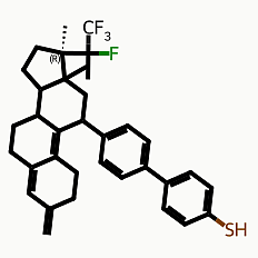 C=C1C=C2CCC3C(=C2CC1)C(c1ccc(-c2ccc(S)cc2)cc1)CC1(C)C3CC[C@@]1(C)C(C)(F)C(F)(F)F